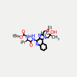 CCOCc1nc2c(NC(=O)C(NC(=O)OC(C)(C)C)C(C)C)nc3ccccc3c2n1CC(C)(C)O